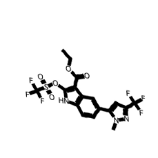 CCOC(=O)c1c(OS(=O)(=O)C(F)(F)F)[nH]c2ccc(-c3cc(C(F)(F)F)nn3C)cc12